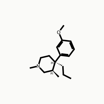 CCC[C@@]1(c2cccc(OC)c2)CCN(C)C[C@@H]1C